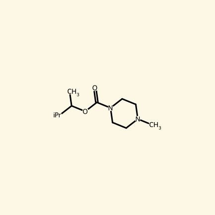 CC(C)C(C)OC(=O)N1CCN(C)CC1